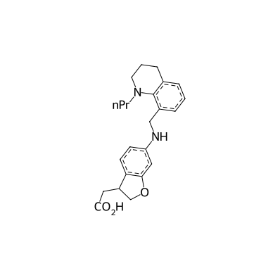 CCCN1CCCc2cccc(CNc3ccc4c(c3)OCC4CC(=O)O)c21